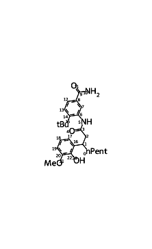 CCCCCC(CC(=O)Nc1cc(C(N)=O)ccc1C(C)(C)C)c1cccc(OC)c1O